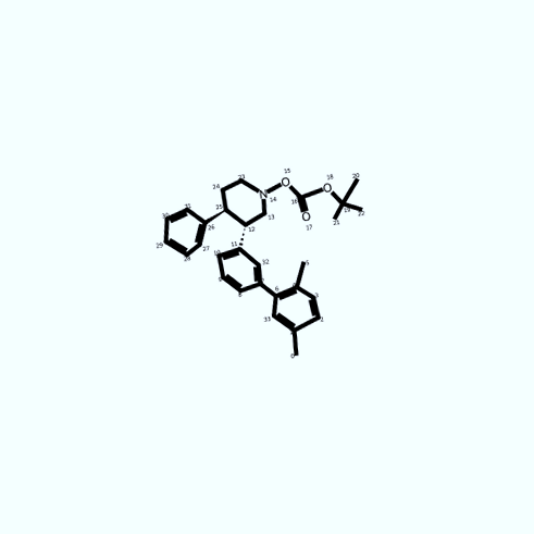 Cc1ccc(C)c(-c2cccc([C@H]3CN(OC(=O)OC(C)(C)C)CC[C@@H]3c3ccccc3)c2)c1